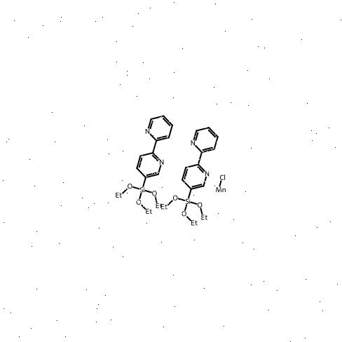 CCO[Si](OCC)(OCC)c1ccc(-c2ccccn2)nc1.CCO[Si](OCC)(OCC)c1ccc(-c2ccccn2)nc1.[Cl][Mn]